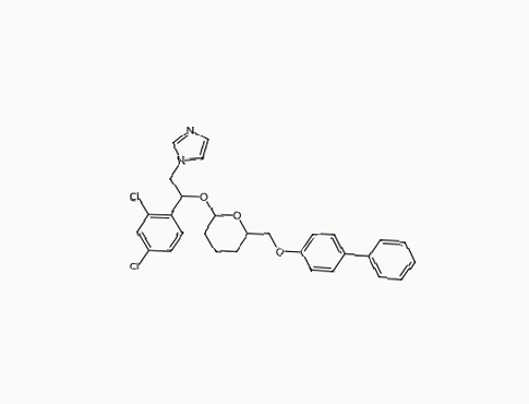 Clc1ccc(C(Cn2ccnc2)OC2CCCC(COc3ccc(-c4ccccc4)cc3)O2)c(Cl)c1